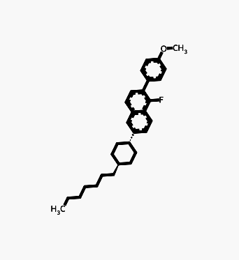 CCCCCCC[C@H]1CC[C@H](c2ccc3c(F)c(-c4ccc(OC)cc4)ccc3c2)CC1